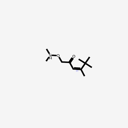 C/C(=C/C(=O)CO[SiH](C)C)C(C)(C)C